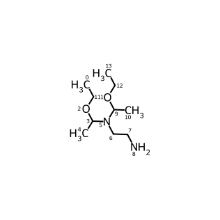 CCOC(C)N(CCN)C(C)OCC